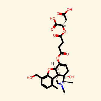 Cc1ccc(CO)c2c1[C@]13CCN(C)[C@H](C)[C@]1(O)CC=C(OC(=O)CCC(=O)O[C@@H](CC(=O)O)C(=O)O)[C@@H]3O2